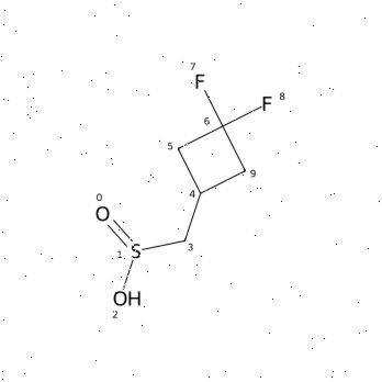 O=S(O)CC1CC(F)(F)C1